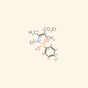 CCOC(=O)C(C)=C(C)N(CC)S(=O)(=O)c1ccc(F)cc1